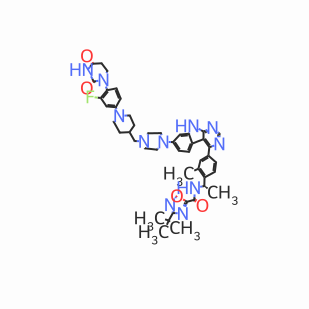 Cc1cc(-c2ncnc3[nH]c4cc(N5CCN(CC6CCN(c7ccc(N8CCC(=O)NC8=O)c(F)c7)CC6)CC5)ccc4c23)ccc1[C@@H](C)NC(=O)c1nc(C(C)(C)C)no1